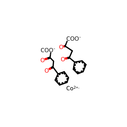 O=C([O-])C(=O)CC(=O)c1ccccc1.O=C([O-])C(=O)CC(=O)c1ccccc1.[Co+2]